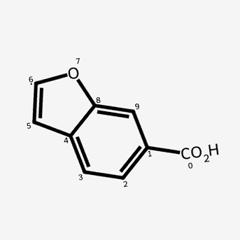 O=C(O)c1ccc2c[c]oc2c1